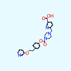 O=C(O)c1ccc(CN2CCN(C(=O)Oc3ccc(CCOc4cccnc4)cc3)CC2)nc1